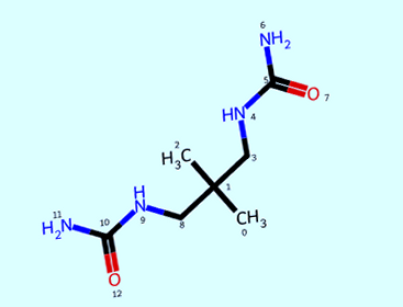 CC(C)(CNC(N)=O)CNC(N)=O